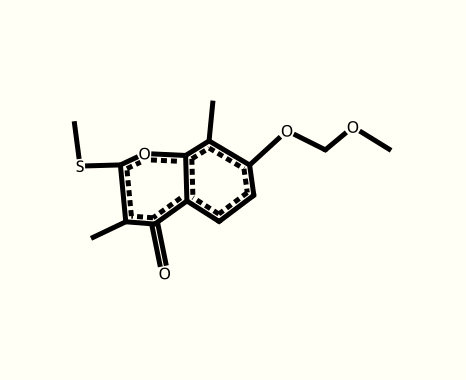 COCOc1ccc2c(=O)c(C)c(SC)oc2c1C